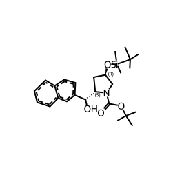 CC(C)(C)OC(=O)N1C[C@H](O[Si](C)(C)C(C)(C)C)C[C@H]1C(O)c1ccc2ccccc2c1